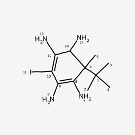 CC(C)(C)C1(C)C(N)=C(N)C(I)=C(N)C1N